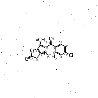 Cc1c2c(n(C)c1C(=O)c1ccc(Cl)cc1)CC(=O)O2